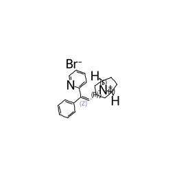 C[N+]1(C)[C@@H]2CC[C@H]1C[C@@H](/C=C(/c1ccccc1)c1ccccn1)C2.[Br-]